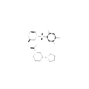 Cc1cc(S(=O)(=O)N2C=CNC(=O)[C@H]2CC(=O)N2CCC[C@H](N3CCCC3)C2)c(C)cc1Cl